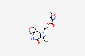 CCc1nn(CCOC(=O)c2cc(C)on2)c2c1C(=O)NCC1(CCOCC1)C2